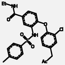 CCNC(=O)c1ccc(Oc2ccc(CC(C)=O)cc2Cl)c(NS(=O)(=O)c2ccc(C)cc2)c1